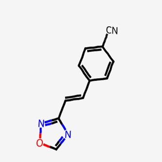 N#Cc1ccc(C=Cc2ncon2)cc1